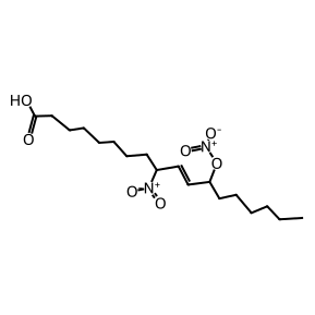 CCCCCCC(C=CC(CCCCCCCC(=O)O)[N+](=O)[O-])O[N+](=O)[O-]